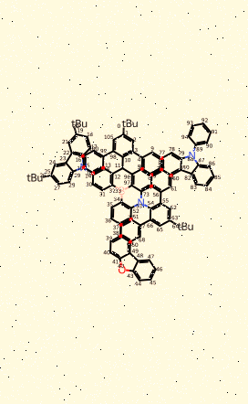 CC(C)(C)c1cc(-c2ccccc2)c(C2c3cc(-n4c5ccc(C(C)(C)C)cc5c5cc(C(C)(C)C)ccc54)ccc3B3c4ccc(-c5ccc6oc7ccccc7c6c5)cc4N(c4c(-c5ccccc5)cc(C(C)(C)C)cc4-c4ccccc4)c4cc(-c5ccc6c(c5)c5ccccc5n6-c5ccccc5)cc2c43)c(-c2ccccc2)c1